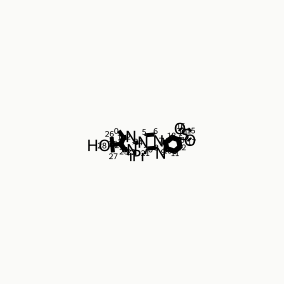 Cc1nc(N2CCn3c(nc4ccc(S(C)(=O)=O)cc43)[C@@H]2C(C)C)ncc1C(C)(C)O